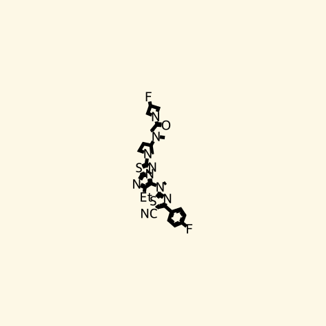 CCc1nc2sc(N3CCC(N(C)CC(=O)N4CC(F)C4)C3)nn2c1N(C)c1nc(-c2ccc(F)cc2)c(C#N)s1